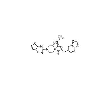 CCOC(=O)C1(NCCc2ccc3c(c2)OCO3)CCN(c2ncc3ccsc3n2)CC1C